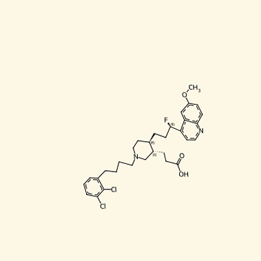 COc1ccc2nccc([C@H](F)CC[C@@H]3CCN(CCCCc4cccc(Cl)c4Cl)C[C@H]3CCC(=O)O)c2c1